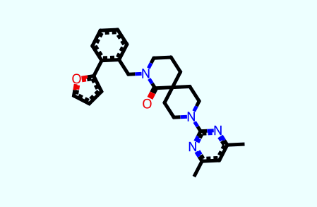 Cc1cc(C)nc(N2CCC3(CCCN(Cc4ccccc4-c4ccco4)C3=O)CC2)n1